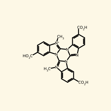 C[n+]1c2ccc(C(=O)O)cc2n2c1n1c3cc(C(=O)O)ccc3nc1n1c3cc(C(=O)O)ccc3[n+](C)c12